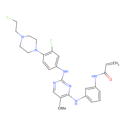 C=CC(=O)Nc1cccc(Nc2nc(Nc3ccc(N4CCN(CCF)CC4)c(F)c3)ncc2OC)c1